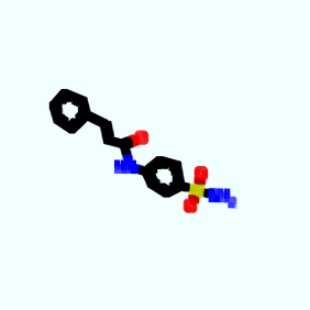 NS(=O)(=O)c1ccc(NC(=O)/C=C/c2ccccc2)cc1